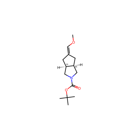 COC=C1C[C@@H]2CN(C(=O)OC(C)(C)C)C[C@@H]2C1